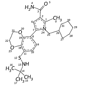 Cc1c(C(N)=O)cc(-c2ccc(SNC(C)(C)C)c3c2OCCO3)n1CC1CCCCC1